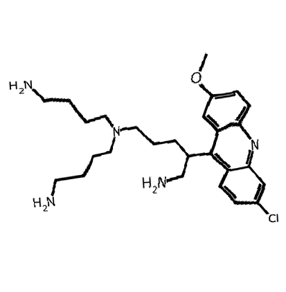 COc1ccc2nc3cc(Cl)ccc3c(C(CN)CCCN(CCCCN)CCCCN)c2c1